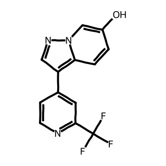 Oc1ccc2c(-c3ccnc(C(F)(F)F)c3)cnn2c1